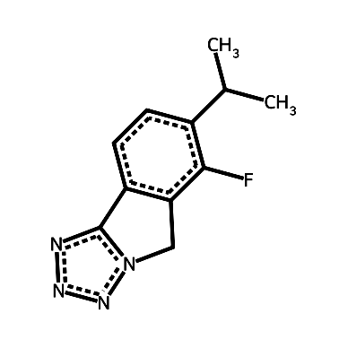 CC(C)c1ccc2c(c1F)Cn1nnnc1-2